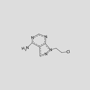 Nc1ncnc2c1cnn2CCCl